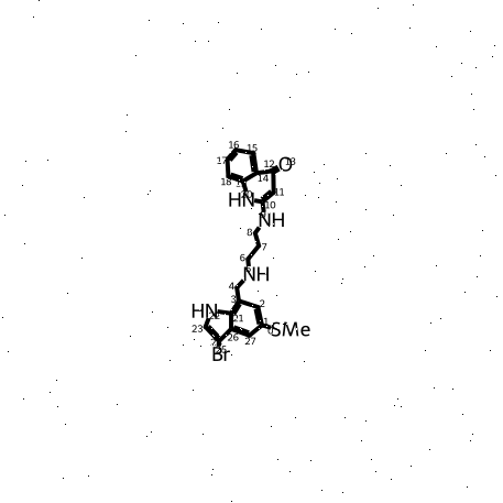 CSc1cc(CNCCCNc2cc(=O)c3ccccc3[nH]2)c2[nH]cc(Br)c2c1